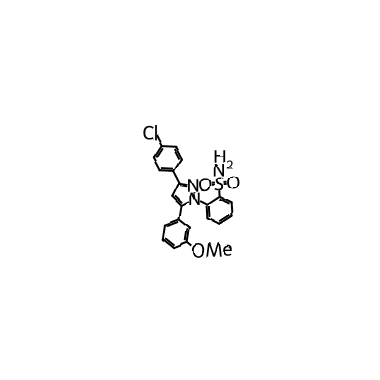 COc1cccc(-c2cc(-c3ccc(Cl)cc3)nn2-c2ccccc2S(N)(=O)=O)c1